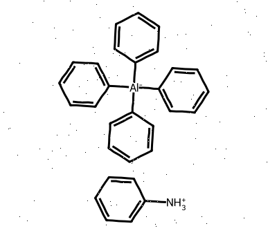 [NH3+]c1ccccc1.c1cc[c]([Al-]([c]2ccccc2)([c]2ccccc2)[c]2ccccc2)cc1